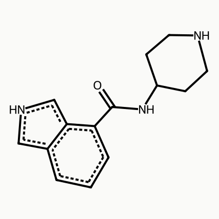 O=C(NC1CCNCC1)c1cccc2c[nH]cc12